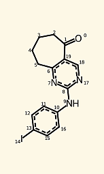 O=C1CCCCc2nc(Nc3ccc(I)cc3)ncc21